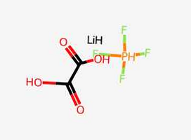 F[PH](F)(F)F.O=C(O)C(=O)O.[LiH]